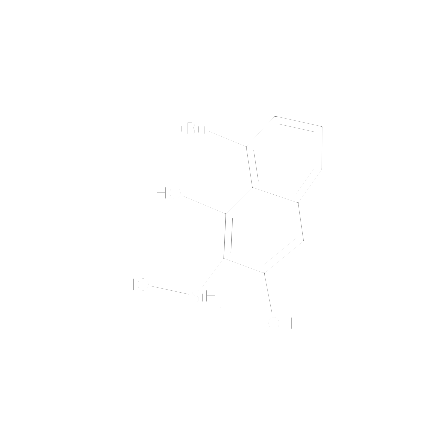 CC(C)(C)c1cccc2cc(O)c([SiH2]O)c(O)c12